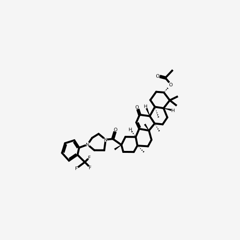 CC(=O)O[C@H]1CC[C@]2(C)[C@H]3C(=O)C=C4[C@@H]5C[C@@](C)(C(=O)N6CCN(c7ccccc7C(F)(F)F)CC6)CC[C@]5(C)CC[C@@]4(C)[C@]3(C)CC[C@H]2C1(C)C